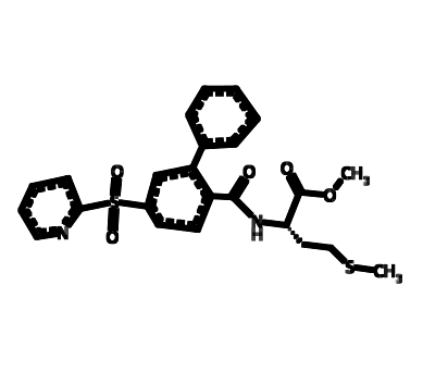 COC(=O)[C@H](CCSC)NC(=O)c1ccc(S(=O)(=O)c2ccccn2)cc1-c1ccccc1